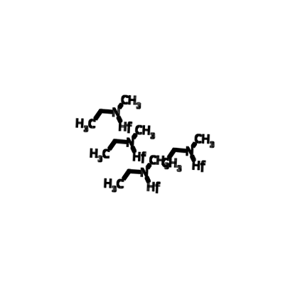 CC[N](C)[Hf].CC[N](C)[Hf].CC[N](C)[Hf].CC[N](C)[Hf]